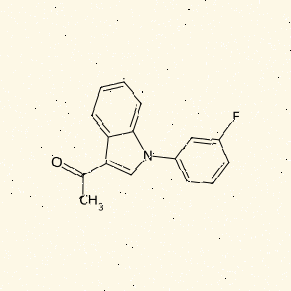 CC(=O)c1cn(-c2cccc(F)c2)c2c[c]ccc12